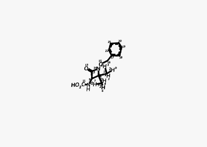 [2H]C([2H])([2H])C1(C([2H])([2H])[2H])C(NC(=O)O)C(=O)N1OCc1ccccc1